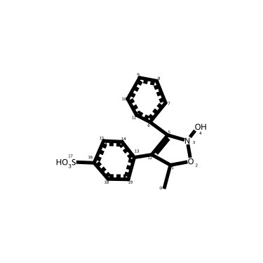 CC1ON(O)C(c2ccccc2)=C1c1ccc(S(=O)(=O)O)cc1